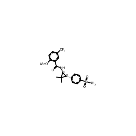 COc1ccc(C(F)(F)F)cc1C(=O)N[C@H]1[C@H](c2ccc(S(N)(=O)=O)cc2)C1(C)C